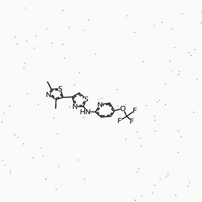 Cc1nc(C)c(-c2csc(Nc3ccc(OC(F)(F)F)cn3)n2)s1